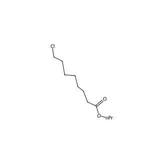 CCCOC(=O)CCCCCCCCl